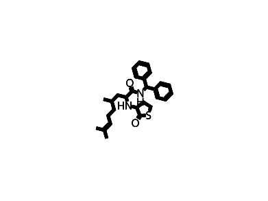 CC(C)=CCCC(C)CC(NC1CCSC1=O)C(=O)NC(c1ccccc1)c1ccccc1